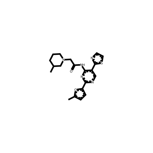 Cc1ccc(-c2ncc(-c3nccs3)c(NC(=O)CN3CCCC(C)C3)n2)o1